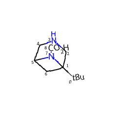 CC(C)(C)C12CNCC(C1)N2C(=O)O